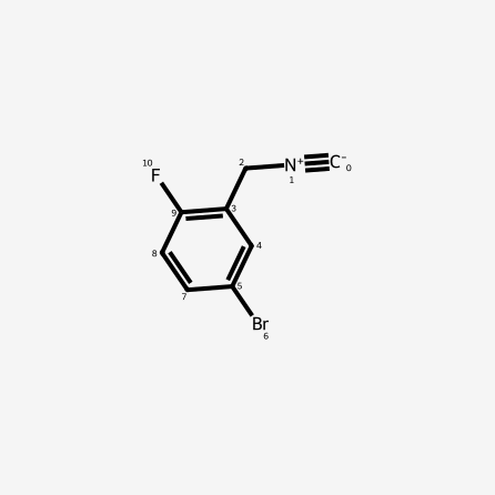 [C-]#[N+]Cc1cc(Br)ccc1F